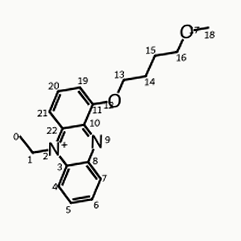 CC[n+]1c2ccccc2nc2c(OCCCCOC)cccc21